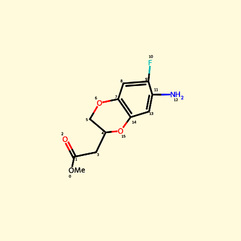 COC(=O)CC1COc2cc(F)c(N)cc2O1